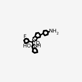 Nc1ccc(-c2ccc3c(c2)C(=O)N(C(c2cc4ccccc4[nH]2)c2cc(F)ccc2O)C3)cc1